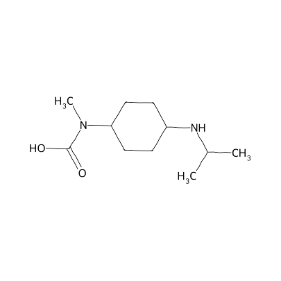 CC(C)NC1CCC(N(C)C(=O)O)CC1